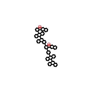 c1ccc2cc3c(cc2c1)oc1cccc(-c2c4ccccc4c(-c4cc5ccc(-c6ccc(-c7ccc(-c8c9ccccc9c(-c9cc%10ccccc%10c%10ccccc9%10)c9ccccc89)cc7)c7c6oc6cc8ccccc8cc67)cc5c5ccccc45)c4ccccc24)c13